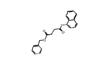 O=C(CCC(=O)Oc1cccc2ccccc12)OCc1ccccc1